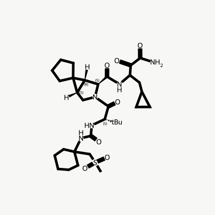 CC(C)(C)[C@H](NC(=O)NC1(CS(C)(=O)=O)CCCCC1)C(=O)N1C[C@H]2[C@@H]([C@H]1C(=O)NC(CC1CC1)C(=O)C(N)=O)C21CCCC1